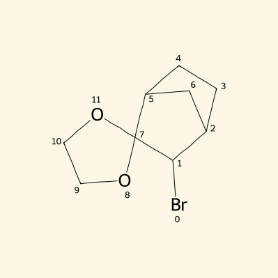 BrC1C2CCC(C2)C12OCCO2